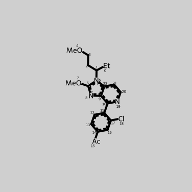 CCC(CCOC)n1c(OC)nc2c(-c3ccc(C(C)=O)cc3Cl)nccc21